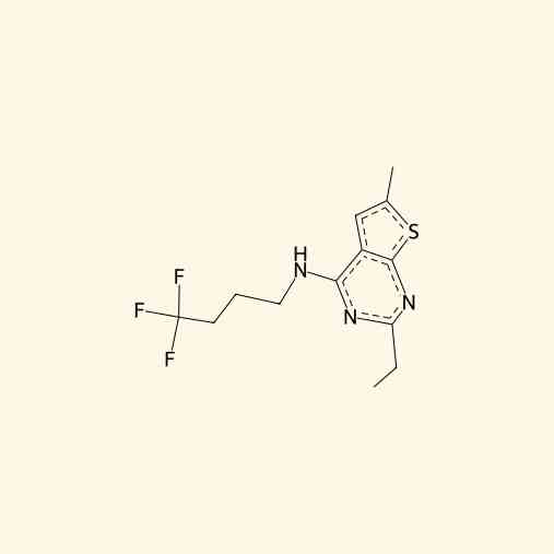 CCc1nc(NCCCC(F)(F)F)c2cc(C)sc2n1